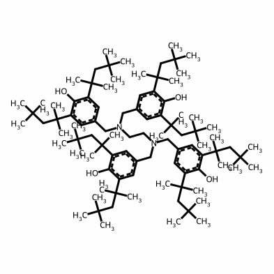 CC(C)(C)CC(C)(C)c1cc(CN(CCN(Cc2cc(C(C)(C)CC(C)(C)C)c(O)c(C(C)(C)CC(C)(C)C)c2)Cc2cc(C(C)(C)CC(C)(C)C)c(O)c(C(C)(C)CC(C)(C)C)c2)Cc2cc(C(C)(C)CC(C)(C)C)c(O)c(C(C)(C)CC(C)(C)C)c2)cc(C(C)(C)CC(C)(C)C)c1O